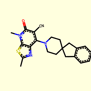 Cc1nc2c(N3CCC4(CC3)Cc3ccccc3C4)c(C#N)c(=O)n(C)c2s1